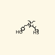 C=C(/C(C)=C/C(C)=C(C)/C=C\S)N(CCCc1ccc(O)cc1)/C(=C\C)CCC